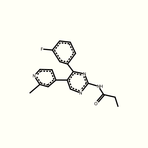 CCC(=O)Nc1ncc(-c2ccnc(C)c2)c(-c2cccc(F)c2)n1